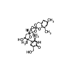 BC(B)(OP1(=O)OCc2cc(C)cc(C)c2O1)[C@]1(F)C[C@@H](O)[C@](B)(n2cc(CO)c(=O)[nH]c2=O)O1